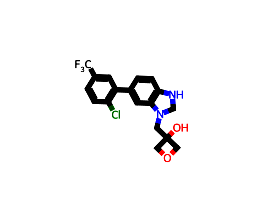 OC1(CN2CNc3ccc(-c4cc(C(F)(F)F)ccc4Cl)cc32)COC1